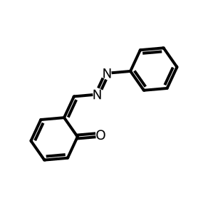 O=C1C=CC=CC1=CN=Nc1ccccc1